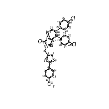 O=c1n(Cc2csc(-c3ccc(C(F)(F)F)cc3)n2)nc2c(-c3ccc(Cl)cc3)c(-c3ccc(Cl)cc3)cnn12